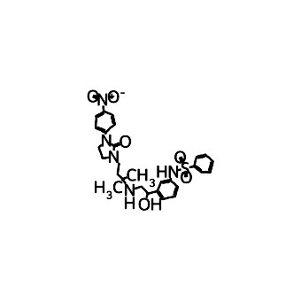 CC(C)(CCN1CCN(c2ccc([N+](=O)[O-])cc2)C1=O)NCC(O)c1cccc(NS(=O)(=O)c2ccccc2)c1